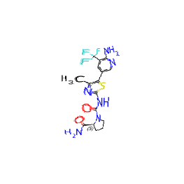 Cc1nc(NC(=O)N2CCC[C@H]2C(N)=O)sc1-c1cnc(N)c(C(F)(F)F)c1